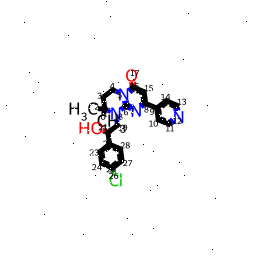 CC1(C)CCn2c(nc(-c3ccncc3)cc2=O)N1CC(O)c1ccc(Cl)cc1